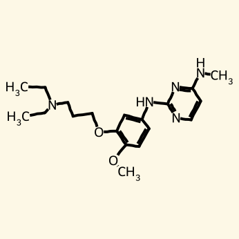 CCN(CC)CCCOc1cc(Nc2nccc(NC)n2)ccc1OC